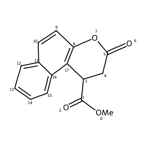 COC(=O)C1CC(=O)Oc2ccc3ccccc3c21